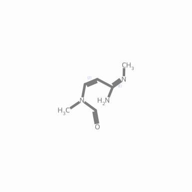 C/N=C(N)\C=C/N(C)C=O